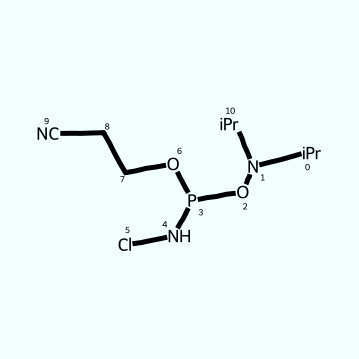 CC(C)N(OP(NCl)OCCC#N)C(C)C